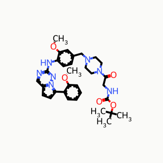 COc1cc(CN2CCN(C(=O)CNC(=O)OC(C)(C)C)CC2)ccc1Nc1ncc2ccc(-c3ccccc3OC)n2n1